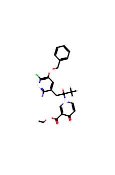 CCOC(=O)c1cn(C(O)(Cc2cc(OCc3ccccc3)c(Cl)nc2I)C(C)(C)C)ccc1=O